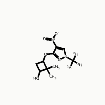 [2H]C([2H])([2H])n1cc([N+](=O)[O-])c(OC2CC(O)C2(C)C)n1